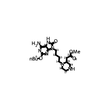 CCCCOc1nc(N)c2[nH]c(=O)n(CCCCN3CCNCC3CC(=O)OC)c2n1